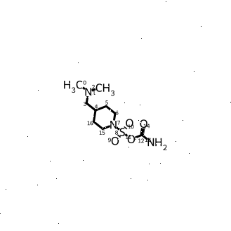 CN(C)CC1CCN(S(=O)(=O)OC(N)=O)CC1